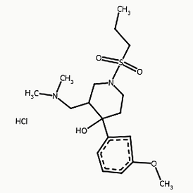 CCCS(=O)(=O)N1CCC(O)(c2cccc(OC)c2)C(CN(C)C)C1.Cl